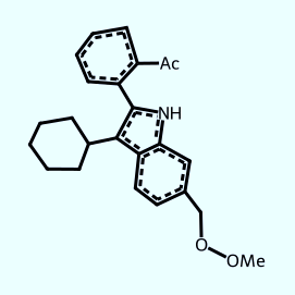 COOCc1ccc2c(C3CCCCC3)c(-c3ccccc3C(C)=O)[nH]c2c1